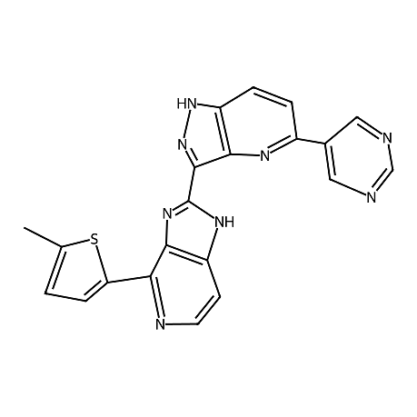 Cc1ccc(-c2nccc3[nH]c(-c4n[nH]c5ccc(-c6cncnc6)nc45)nc23)s1